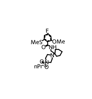 CCCS(=O)(=O)N1CCN(C2(CNC(=O)c3c(OC)cc(F)cc3SC)CCCCC2)CC1